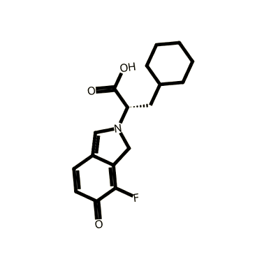 O=C1C=CC2=CN([C@@H](CC3CCCCC3)C(=O)O)CC2=C1F